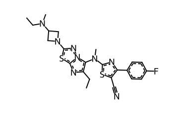 CCc1nc2sc(N3CC(N(C)CC)C3)nn2c1N(C)c1nc(-c2ccc(F)cc2)c(C#N)s1